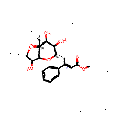 COC(=O)/C=C(\C[C@@H]1OC2C(O)CO[C@@H]2C(O)C1O)c1ccccc1